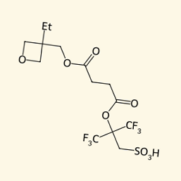 CCC1(COC(=O)CCC(=O)OC(CS(=O)(=O)O)(C(F)(F)F)C(F)(F)F)COC1